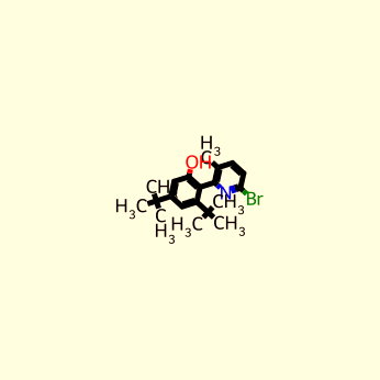 Cc1ccc(Br)nc1-c1c(O)cc(C(C)(C)C)cc1C(C)(C)C